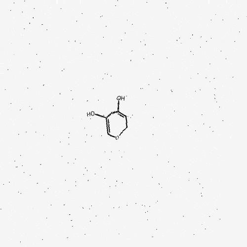 OC1=[C]COC=C1O